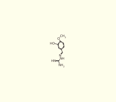 COc1ccc(/C=N/NC(=N)N)cc1O